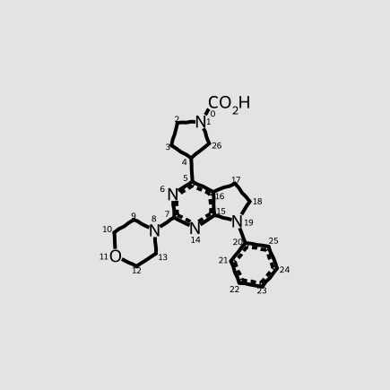 O=C(O)N1CCC(c2nc(N3CCOCC3)nc3c2CCN3c2ccccc2)C1